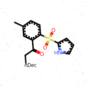 CCCCCCCCCCCC(=O)c1cc(C)ccc1S(=O)(=O)c1ccc[nH]1